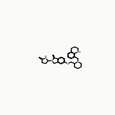 C=C1CCC(N2Cc3cc(OCC4CCCCN4Cc4cccc5c4NCCC5)ccc3C2=C)N1